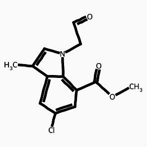 COC(=O)c1cc(Cl)cc2c(C)cn(CC=O)c12